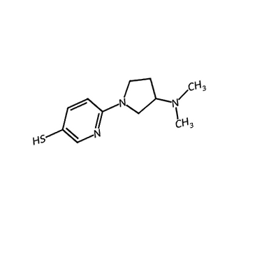 CN(C)C1CCN(c2ccc(S)cn2)C1